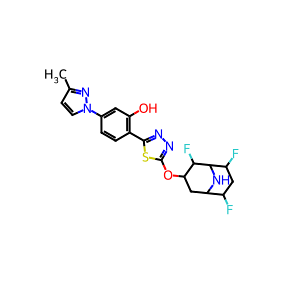 Cc1ccn(-c2ccc(-c3nnc(OC4CC5NC(C(F)CC5F)C4F)s3)c(O)c2)n1